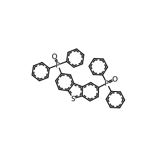 O=P(c1ccccc1)(c1ccccc1)c1ccc2sc3ccc(P(=O)(c4ccccc4)c4ccccc4)cc3c2c1